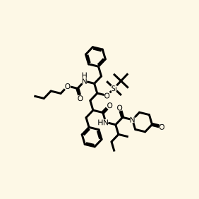 CCCCOC(=O)NC(Cc1ccccc1)C(CC(Cc1ccccc1)C(=O)NC(C(=O)N1CCC(=O)CC1)C(C)CC)O[Si](C)(C)C(C)(C)C